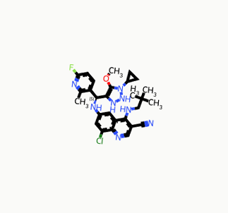 COC1=C([C@@H](Nc2cc(Cl)c3ncc(C#N)c(NCC(C)(C)C)c3c2)c2ccc(F)nc2C)NNN1C1CC1